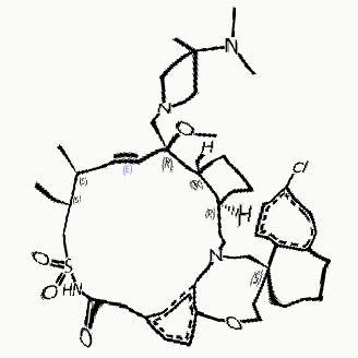 CO[C@@]1(CN2CC(C)(N(C)C)C2)/C=C/[C@H](C)[C@H](C)CS(=O)(=O)NC(=O)c2ccc3c(c2)N(C[C@@H]2CC[C@H]21)C[C@@]1(CCCc2cc(Cl)ccc21)CO3